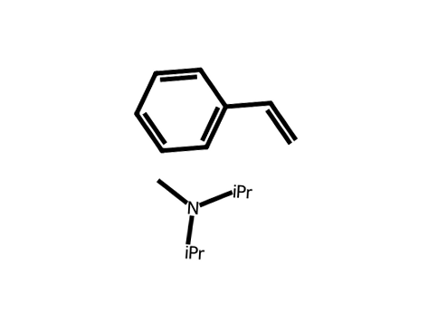 C=Cc1ccccc1.CC(C)N(C)C(C)C